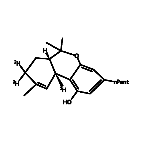 [2H]C1([2H])C[C@H]2C(C)(C)Oc3cc(CCCCC)cc(O)c3[C@]2([2H])C=C1C